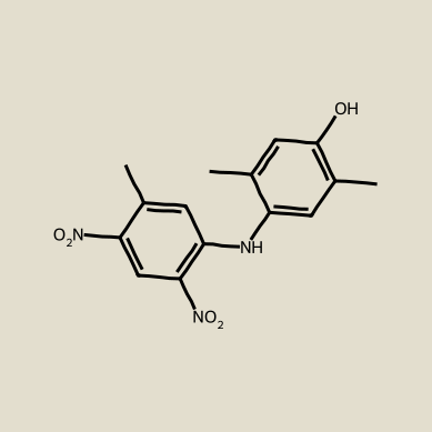 Cc1cc(Nc2cc(C)c([N+](=O)[O-])cc2[N+](=O)[O-])c(C)cc1O